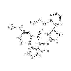 CCOc1ccccc1-c1noc([C@@H]2CCCN2C(=O)c2cc(OC)ccc2-n2nccn2)n1